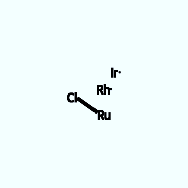 [Cl][Ru].[Ir].[Rh]